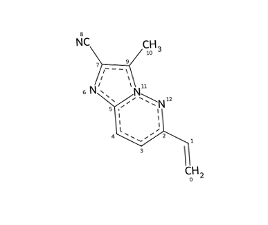 C=Cc1ccc2nc(C#N)c(C)n2n1